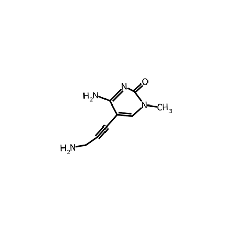 Cn1cc(C#CCN)c(N)nc1=O